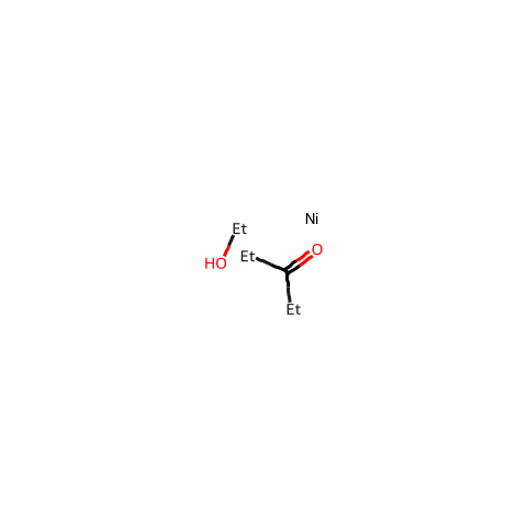 CCC(=O)CC.CCO.[Ni]